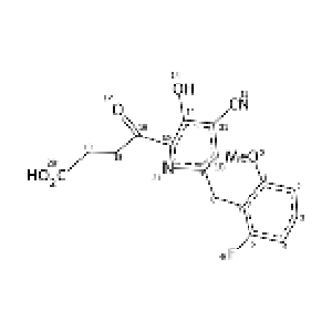 COc1cccc(F)c1Cc1cc(C#N)c(O)c(C(=O)CCC(=O)O)n1